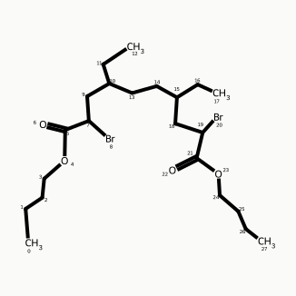 CCCCOC(=O)C(Br)CC(CC)CCC(CC)CC(Br)C(=O)OCCCC